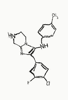 Cc1ccc(Nc2c(-c3ccc(Cl)c(F)c3)nc3n2CCNC3)cc1